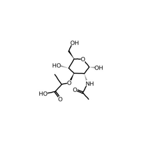 CC(=O)N[C@@H]1[C@@H](OC(C)C(=O)O)[C@H](O)[C@@H](CO)O[C@@H]1O